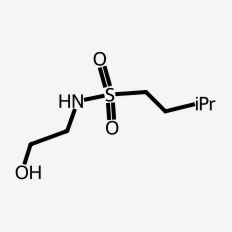 CC(C)CCS(=O)(=O)NCCO